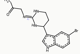 CC(=O)C/N=C1\NCCC(c2c[nH]c3ccc(Br)cc23)N1